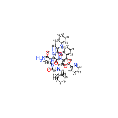 CC(C)(C)NC(=O)[C@@H]1C[C@@H]2CCCC[C@@H]2CN1C[C@@H](OC(=O)c1ccccn1)[C@H](Cc1ccccc1)NC(=O)[C@H](CC(N)=O)NC(=O)c1ccc2ccccc2n1